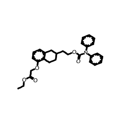 CCOC(=O)COc1cccc2c1CCC(CCOC(=O)N(c1ccccc1)c1ccccc1)C2